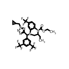 CCOC(=O)N1c2ccc(C(F)(F)F)cc2N(C(c2cc(C(F)(F)F)cc(C(F)(F)F)c2)c2nnn(CC3CC3)n2)CC1CC